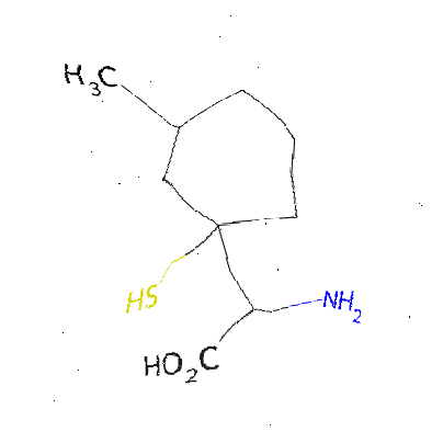 CC1CCCC(S)(C(N)C(=O)O)C1